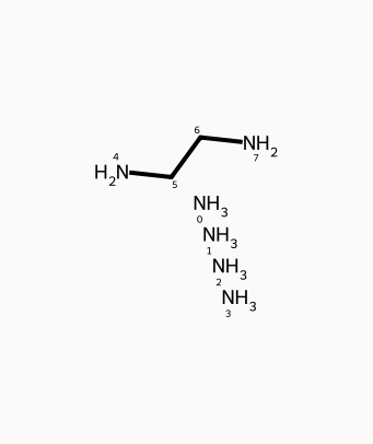 N.N.N.N.NCCN